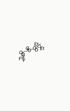 CCC(C)(C)CC(C)(C(=O)OCCOC(=O)CCC(=O)OCC(F)(F)CF)C(C)(C)CC